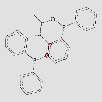 CC(OP(c1ccccc1)c1ccccc1)C(C)C(C)OP(c1ccccc1)c1ccccc1